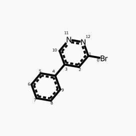 Brc1cc(-c2ccccc2)cnn1